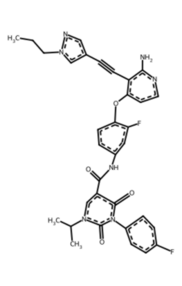 CCCn1cc(C#Cc2c(Oc3ccc(NC(=O)c4cn(C(C)C)c(=O)n(-c5ccc(F)cc5)c4=O)cc3F)ccnc2N)cn1